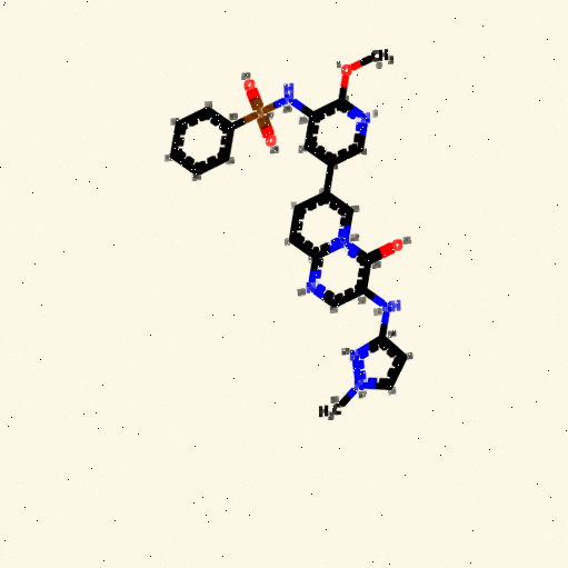 COc1ncc(-c2ccc3ncc(Nc4ccn(C)n4)c(=O)n3c2)cc1NS(=O)(=O)c1ccccc1